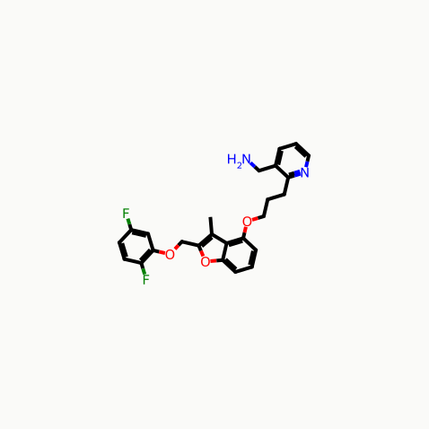 Cc1c(COc2cc(F)ccc2F)oc2cccc(OCCCc3ncccc3CN)c12